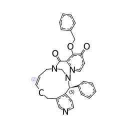 O=C1c2c(OCc3ccccc3)c(=O)ccn2N2CN1C/C=C\CCc1cnccc1[C@@H]2c1ccccc1